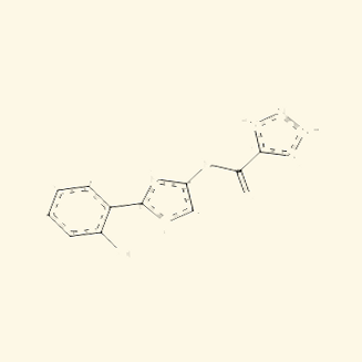 O=C(Nc1csc(-c2ccccc2O)n1)c1nnn[nH]1